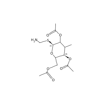 CC(=O)OCC1O[C@@H](SCN)C(OC(C)=O)C(C)[C@H]1OC(C)=O